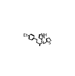 C=C(CCc1ccc(CC)cc1)N(CC1=CCCS1)c1cc[nH]n1